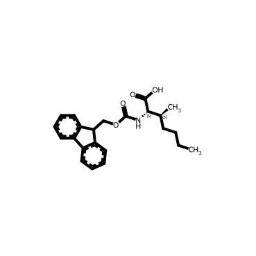 CCCC[C@H](C)[C@H](NC(=O)OCC1c2ccccc2-c2ccccc21)C(=O)O